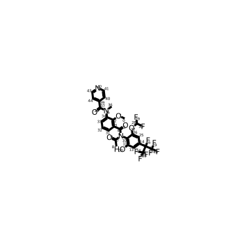 COc1c(C(=O)N(C(C)=O)c2c(O)cc(C(F)(C(F)(F)F)C(F)(F)F)cc2OC(F)F)cccc1N(C)C(=O)c1ccncc1